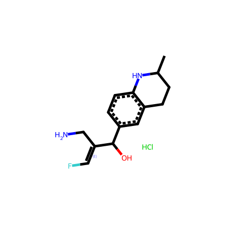 CC1CCc2cc(C(O)/C(=C/F)CN)ccc2N1.Cl